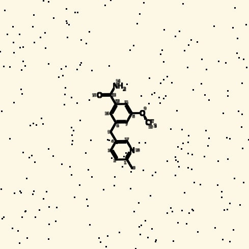 Cc1ccc(Cc2cc(OC(F)(F)F)cc(C(N)=O)c2)cn1